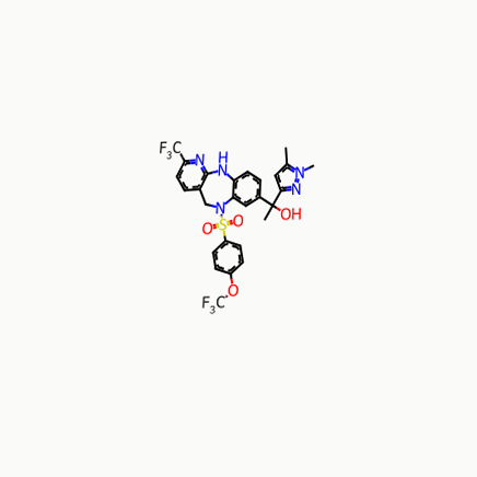 Cc1cc(C(C)(O)c2ccc3c(c2)N(S(=O)(=O)c2ccc(OC(F)(F)F)cc2)Cc2ccc(C(F)(F)F)nc2N3)nn1C